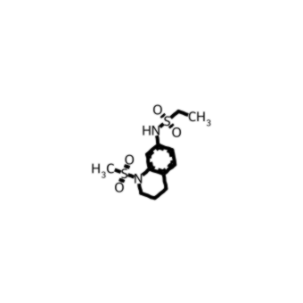 CCS(=O)(=O)Nc1ccc2c(c1)N(S(C)(=O)=O)CCC2